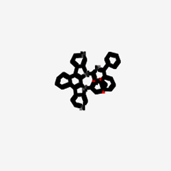 c1ccc(-c2nc(-n3c4cnccc4c4c5ccccc5c5c6ccncc6n(-c6ccccc6)c5c43)nc3ccccc23)cc1